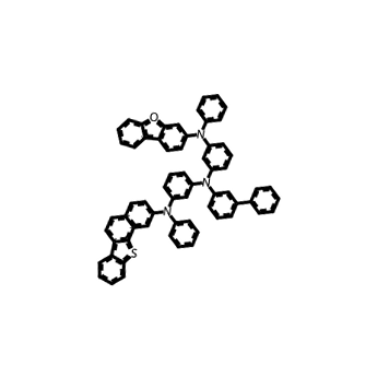 c1ccc(-c2cccc(N(c3cccc(N(c4ccccc4)c4ccc5c(c4)oc4ccccc45)c3)c3cccc(N(c4ccccc4)c4ccc5ccc6c7ccccc7sc6c5c4)c3)c2)cc1